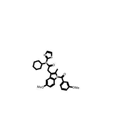 COc1cccc(C(=O)n2c(C)c(CC(=O)N(c3nccs3)C3CCCCC3)c3cc(OC)ccc32)c1